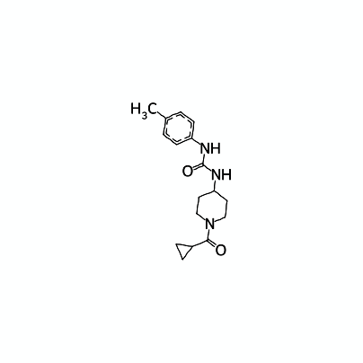 Cc1ccc(NC(=O)NC2CCN(C(=O)C3CC3)CC2)cc1